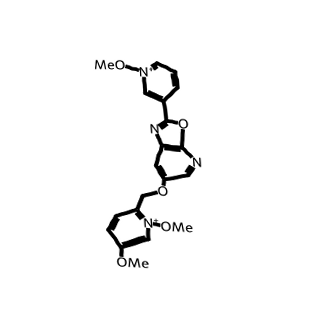 COc1ccc(COc2cnc3oc(-c4ccc[n+](OC)c4)nc3c2)[n+](OC)c1